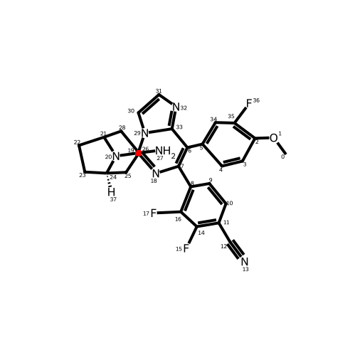 COc1ccc(-c2c(-c3ccc(C#N)c(F)c3F)nc(N3C4CC[C@@H]3CC(N)C4)n3ccnc23)cc1F